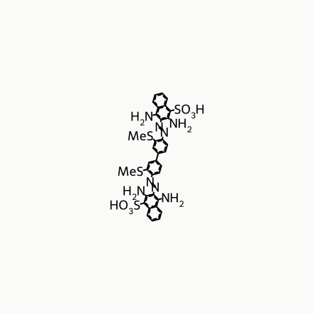 CSc1cc(-c2ccc(/N=N/c3c(N)c(S(=O)(=O)O)c4ccccc4c3N)c(SC)c2)ccc1/N=N/c1c(N)c(S(=O)(=O)O)c2ccccc2c1N